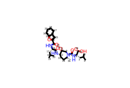 CC(C)C[C@H](NC(=O)N1CC(=O)[C@@H](NC(=O)[C@H](CC(C)C)NC(=O)c2cc3ccccc3o2)CC[C@H]1C)C(=O)O